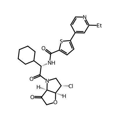 CCc1cc(-c2ccc(C(=O)N[C@H](C(=O)N3C[C@H](Cl)[C@H]4OCC(=O)[C@H]43)C3CCCCC3)s2)ccn1